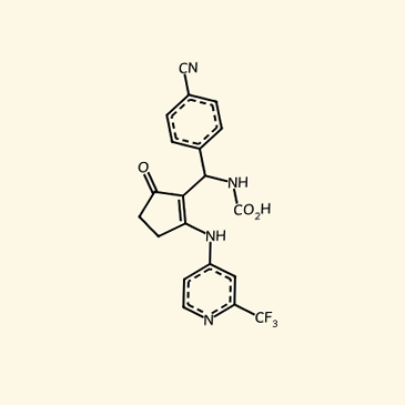 N#Cc1ccc(C(NC(=O)O)C2=C(Nc3ccnc(C(F)(F)F)c3)CCC2=O)cc1